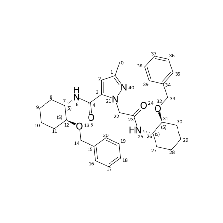 Cc1cc(C(=O)N[C@H]2CCCC[C@@H]2OCc2ccccc2)n(CC(=O)N[C@H]2CCCC[C@@H]2OCc2ccccc2)n1